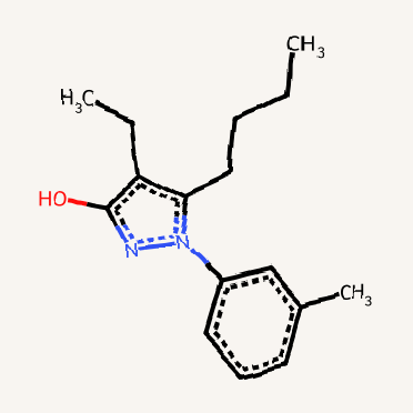 CCCCc1c(CC)c(O)nn1-c1cccc(C)c1